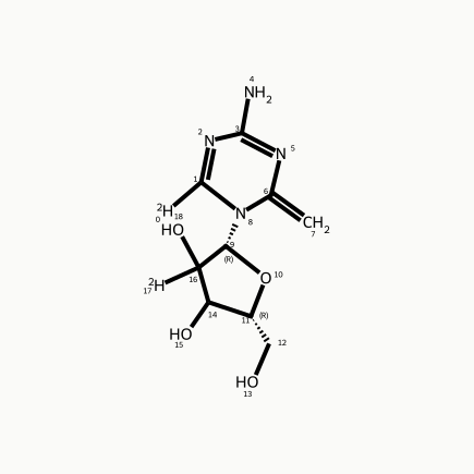 [2H]C1=NC(N)=NC(=C)N1[C@@H]1O[C@H](CO)C(O)C1([2H])O